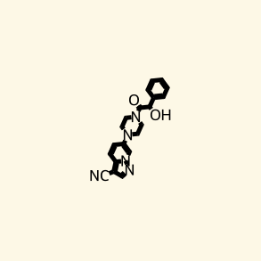 N#Cc1cnn2cc(N3CCN(C(=O)C(O)c4ccccc4)CC3)ccc12